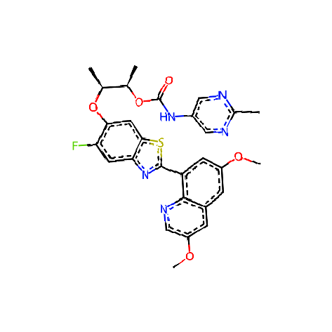 COc1cnc2c(-c3nc4cc(F)c(O[C@@H](C)[C@@H](C)OC(=O)Nc5cnc(C)nc5)cc4s3)cc(OC)cc2c1